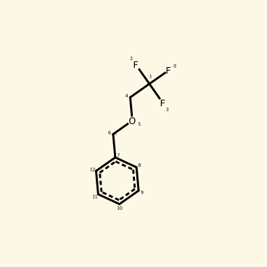 FC(F)(F)CO[CH]c1ccccc1